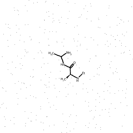 CCN[C@@H](C)C(=O)NC(C)N